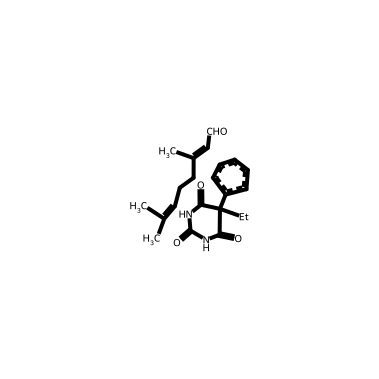 CC(C)=CCC/C(C)=C/C=O.CCC1(c2ccccc2)C(=O)NC(=O)NC1=O